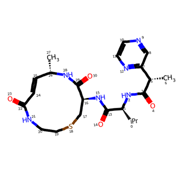 CC(C)[C@H](NC(=O)[C@@H](C)c1cnccn1)C(=O)N[C@H]1CSCCNC(=O)/C=C/[C@H](C)NC1=O